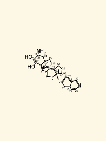 CC12CC=C3C=C4[C@@H](O)[C@H](O)[C@@H](N)C[C@]45CC[C@]3(P5)[C@@H]1CC[C@@H]2c1ccc2ccncc2c1